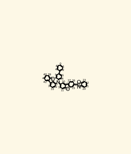 c1ccc(-c2ccc(N(c3ccc4oc5cc(-c6nc7ccccc7o6)ccc5c4c3)c3cccc4c3oc3ccccc34)cc2)cc1